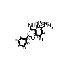 CCCCCn1c(C)cc(=O)c(OCc2ccccc2)c1CN